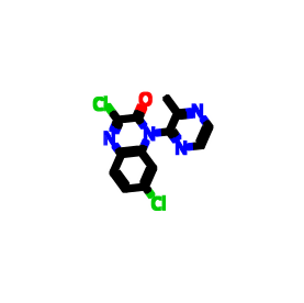 Cc1nccnc1-n1c(=O)c(Cl)nc2ccc(Cl)cc21